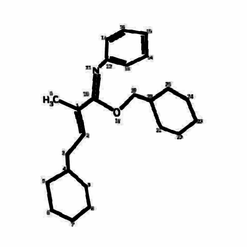 CC(=C\CC1CCCCC1)/C(=N/c1ccccc1)OCC1CCCCC1